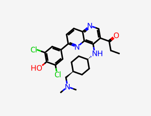 CCC(=O)c1cnc2ccc(-c3cc(Cl)c(O)c(Cl)c3)nc2c1N[C@H]1CC[C@H](CN(C)C)CC1